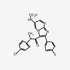 CN(C(=O)c1c(-c2ccc(F)cc2)nc2ncc(NC(=O)O)cn12)c1ccc(Cl)cc1